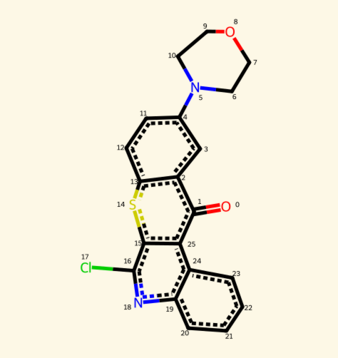 O=c1c2cc(N3CCOCC3)ccc2sc2c(Cl)nc3ccccc3c12